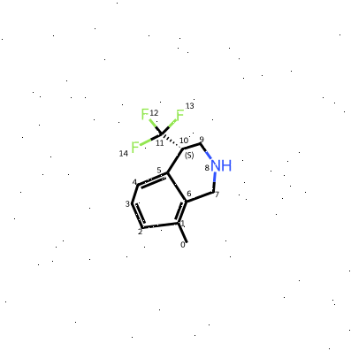 Cc1cccc2c1CNC[C@H]2C(F)(F)F